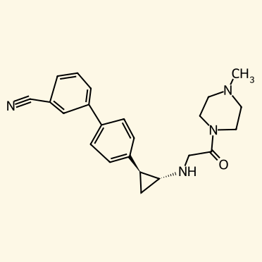 CN1CCN(C(=O)CN[C@@H]2C[C@H]2c2ccc(-c3cccc(C#N)c3)cc2)CC1